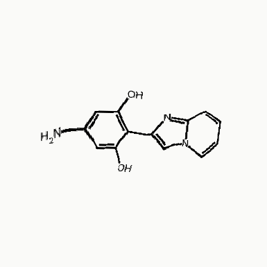 Nc1cc(O)c(-c2cn3ccccc3n2)c(O)c1